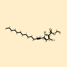 CCCCCCCCCCCC#Cc1cc(F)c(C(=O)OCC)[nH]1